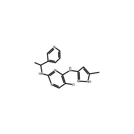 Cc1cc(Nc2nc(NC(C)c3cccnc3)ncc2Cl)n[nH]1